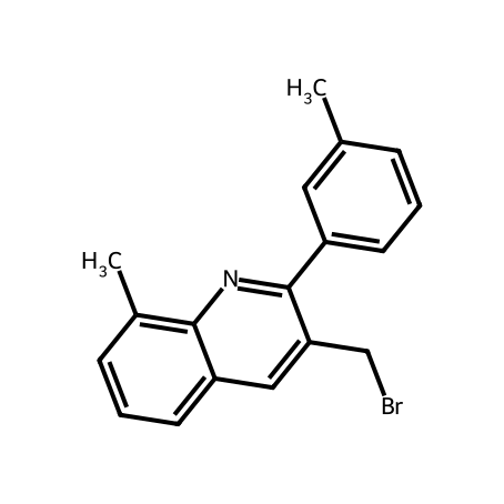 Cc1cccc(-c2nc3c(C)cccc3cc2CBr)c1